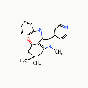 Cn1c2c(c(Nc3ccccc3)c1-c1ccncc1)C(=O)CC(C)(C)C2